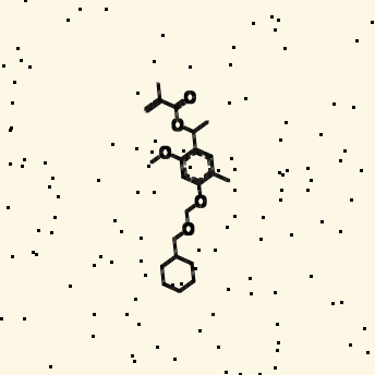 C=C(C)C(=O)OC(C)c1cc(C)c(OCOCC2CCCCC2)cc1OC